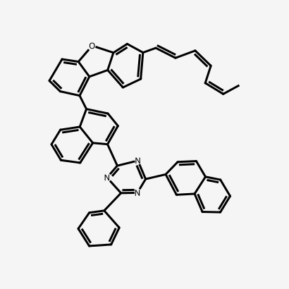 C\C=C/C=C\C=C\c1ccc2c(c1)oc1cccc(-c3ccc(-c4nc(-c5ccccc5)nc(-c5ccc6ccccc6c5)n4)c4ccccc34)c12